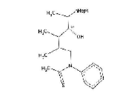 CCCCCCCC(C)[C@H](O)C(C)C(C)CN(C(C)=S)c1ccccc1